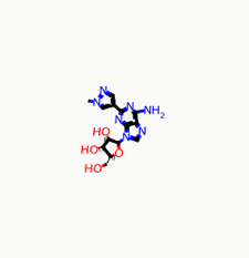 Cn1cc(-c2nc(N)c3ncn(C4O[C@H](CO)[C@@H](O)[C@H]4O)c3n2)cn1